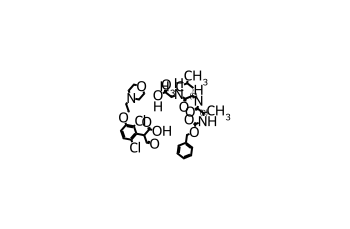 CC(C)C[C@H](NC(=O)[C@@H](C)NC(=O)OCc1ccccc1)C(=O)NCC(=O)O.O=CC(C(=O)O)c1c(Cl)ccc(OCCN2CCOCC2)c1Cl